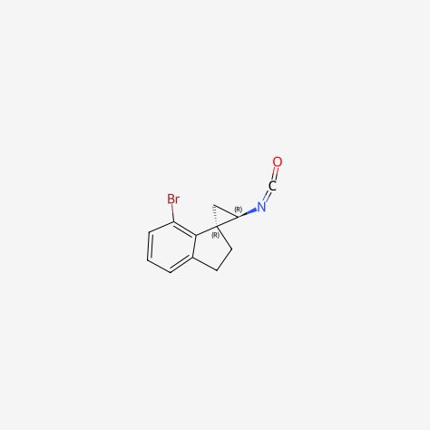 O=C=N[C@@H]1C[C@@]12CCc1cccc(Br)c12